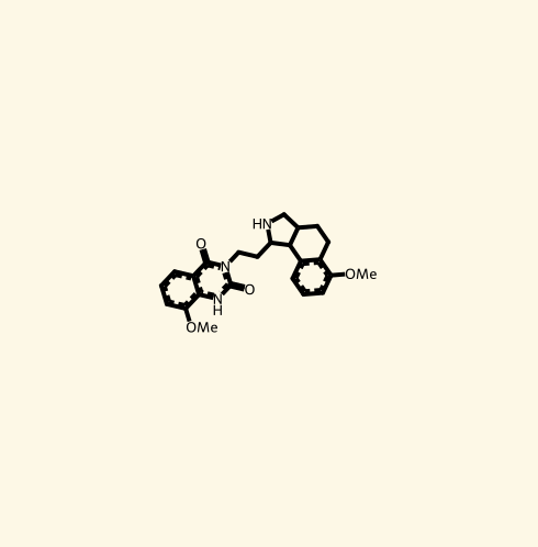 COc1cccc2c1CCC1CNC(CCn3c(=O)[nH]c4c(OC)cccc4c3=O)C21